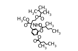 CCCC(C)C(=O)Oc1ccc(C[C@](N)(CCOC(=O)C(C)C(C)C)C(=O)OC)cc1OC(=O)C(C)CCC